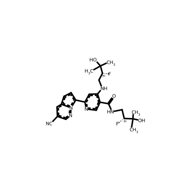 CC(C)(O)[C@H](F)CNC(=O)c1cnc(-c2ccc3cc(C#N)cnn23)cc1NC[C@@H](F)C(C)(C)O